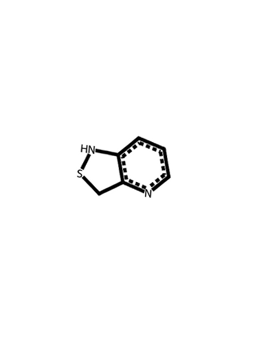 c1cnc2c(c1)NSC2